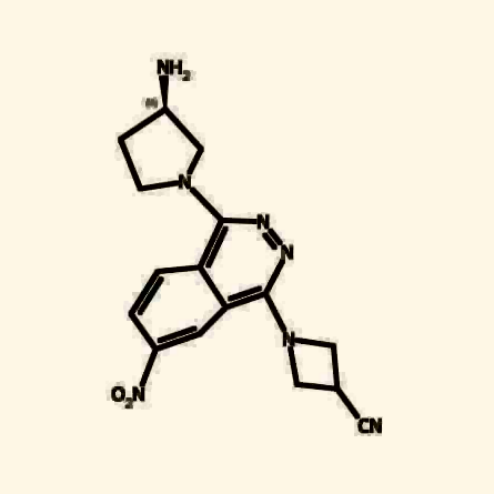 N#CC1CN(c2nnc(N3CC[C@@H](N)C3)c3ccc([N+](=O)[O-])cc23)C1